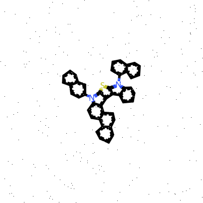 c1ccc2cc(-n3c4ccc5c6ccccc6ccc5c4c4c5c6ccccc6n(-c6cccc7ccccc67)c5sc43)ccc2c1